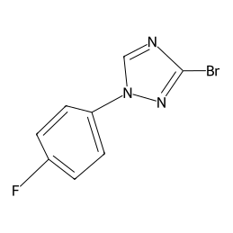 Fc1ccc(-n2cnc(Br)n2)cc1